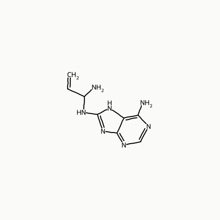 C=CC(N)Nc1nc2ncnc(N)c2[nH]1